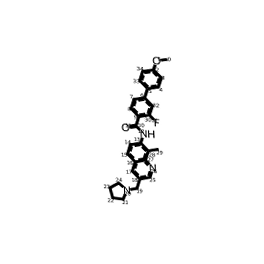 COc1ccc(-c2ccc(C(=O)Nc3ccc4cc(CN5CCCC5)cnc4c3C)c(F)c2)cc1